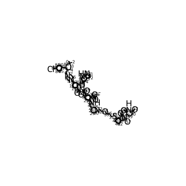 CC1(C)CCC(CN2CCN(c3ccc(C(=O)NS(=O)(=O)c4ccc(NCC5CCCN(CCOCCCSc6cccc7c6C(=O)N(C6CCC(=O)NC6=O)C7=O)C5)c([N+](=O)[O-])c4)c(Oc4cnc5[nH]ccc5c4)c3)CC2)=C(c2ccc(Cl)cc2)C1